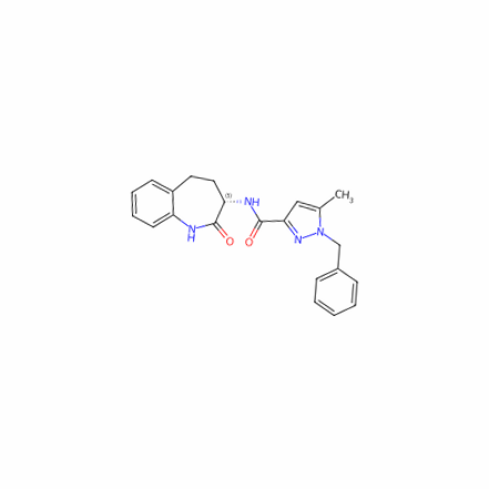 Cc1cc(C(=O)N[C@H]2CCc3ccccc3NC2=O)nn1Cc1ccccc1